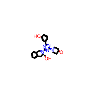 O=C1CCN(c2nc(-c3cccc(O)c3)nc(N3Cc4ccccc4C[C@@H]3CO)n2)CC1